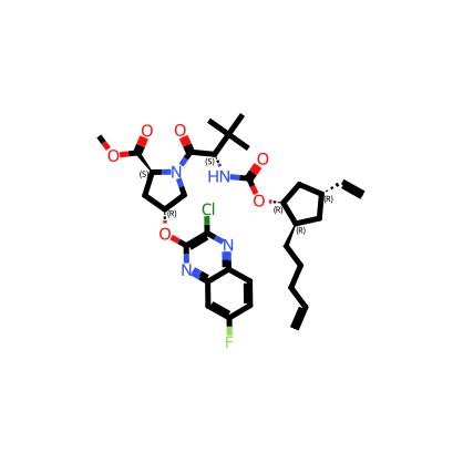 C=CCCC[C@@H]1C[C@@H](C=C)C[C@H]1OC(=O)N[C@H](C(=O)N1C[C@H](Oc2nc3cc(F)ccc3nc2Cl)C[C@H]1C(=O)OC)C(C)(C)C